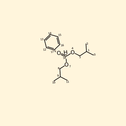 CC(C)CO[PH](=O)OCC(C)C.c1ccccc1